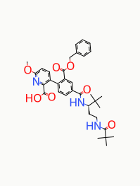 COc1ccc(-c2ccc(C(=O)N[C@H](CCNC(=O)C(C)(C)C)C(C)(C)C)cc2C(=O)OCc2ccccc2)c(C(=O)O)n1